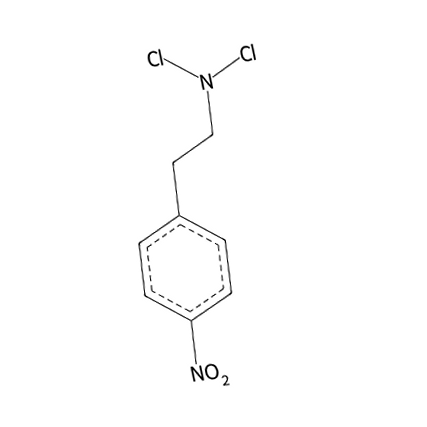 O=[N+]([O-])c1ccc(CCN(Cl)Cl)cc1